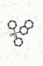 O=[SH](c1ccccc1)(c1ccccc1)c1ccc2ccccc2c1